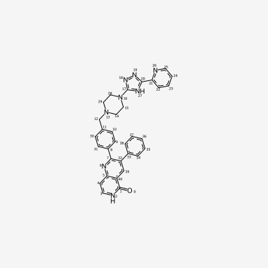 O=c1[nH]ccc2nc(-c3ccc(CN4CCN(c5nnc(-c6ccccn6)[nH]5)CC4)cc3)c(-c3ccccc3)cc12